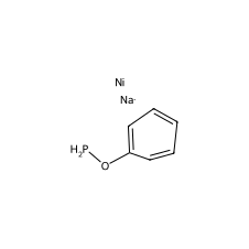 POc1ccccc1.[Na].[Ni]